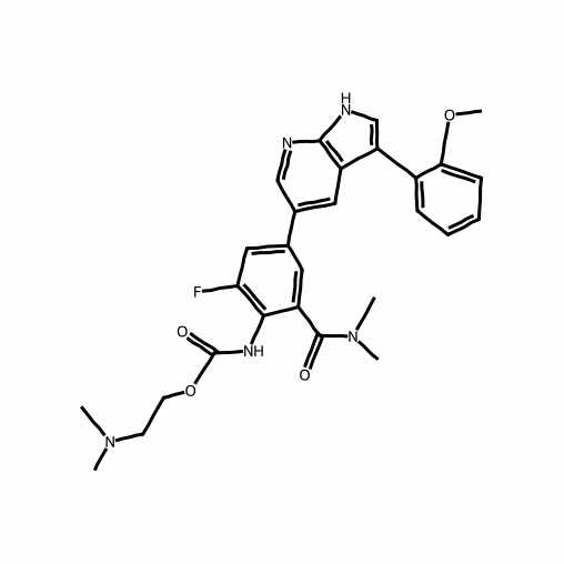 COc1ccccc1-c1c[nH]c2ncc(-c3cc(F)c(NC(=O)OCCN(C)C)c(C(=O)N(C)C)c3)cc12